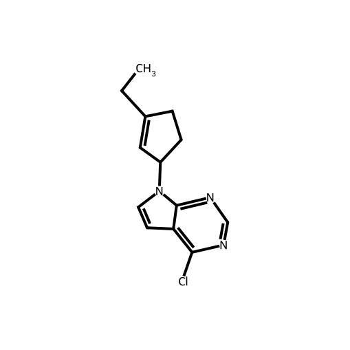 CCC1=CC(n2ccc3c(Cl)ncnc32)CC1